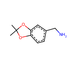 CC1(C)Oc2ccc(CN)cc2O1